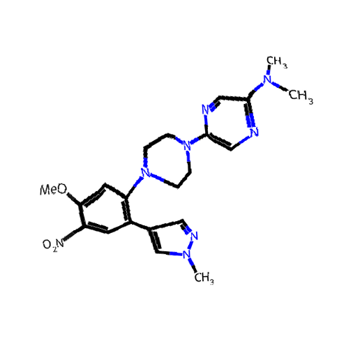 COc1cc(N2CCN(c3cnc(N(C)C)cn3)CC2)c(-c2cnn(C)c2)cc1[N+](=O)[O-]